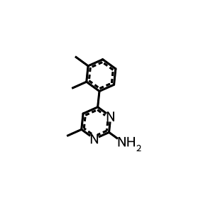 Cc1cc(-c2cccc(C)c2C)nc(N)n1